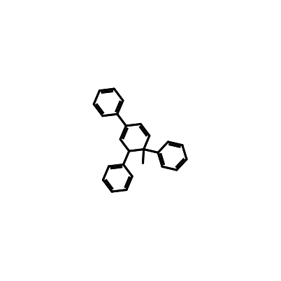 CC1(c2ccccc2)C=CC(c2ccccc2)=CC1c1ccccc1